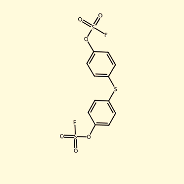 O=S(=O)(F)Oc1ccc(Sc2ccc(OS(=O)(=O)F)cc2)cc1